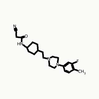 Cc1ccc(N2CCN(CCC3CCC(NC(=O)CC#N)CC3)CC2)cc1F